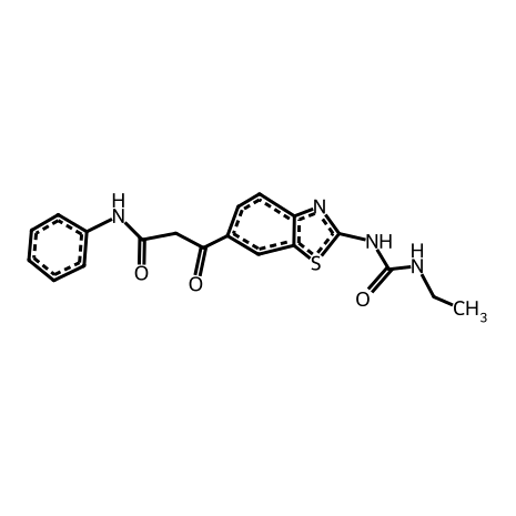 CCNC(=O)Nc1nc2ccc(C(=O)CC(=O)Nc3ccccc3)cc2s1